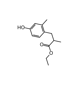 CCOC(=O)C(C)Cc1ccc(O)cc1C